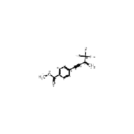 C=C(C#Cc1ccc(C(=O)OC)cc1)C(F)(F)F